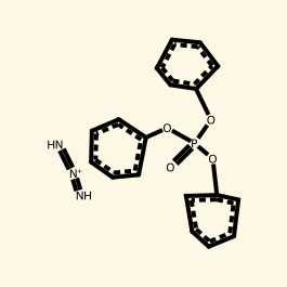 N=[N+]=N.O=P(Oc1ccccc1)(Oc1ccccc1)Oc1ccccc1